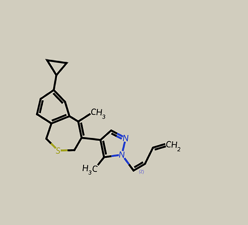 C=C/C=C\n1ncc(C2=C(C)c3cc(C4CC4)ccc3CSC2)c1C